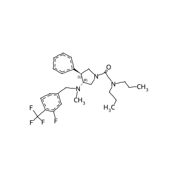 CCCN(CCC)C(=O)N1C[C@H](c2ccccc2)[C@@H](N(C)Cc2ccc(C(F)(F)F)c(F)c2)C1